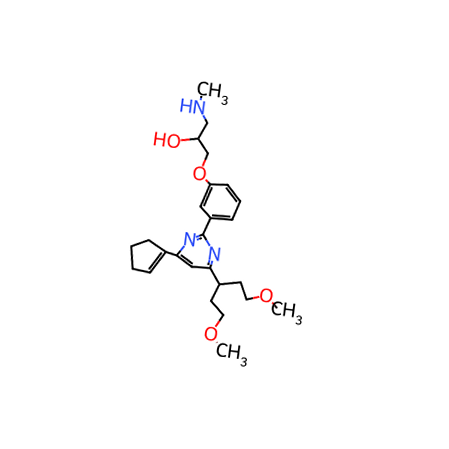 CNCC(O)COc1cccc(-c2nc(C3=CCCC3)cc(C(CCOC)CCOC)n2)c1